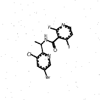 CC(NC(=O)c1c(I)ccnc1F)c1ncc(Br)cc1Cl